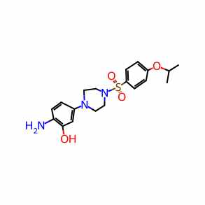 CC(C)Oc1ccc(S(=O)(=O)N2CCN(c3ccc(N)c(O)c3)CC2)cc1